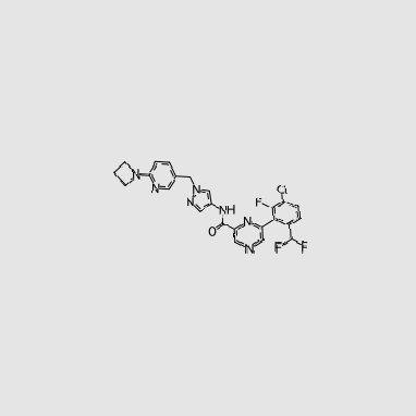 O=C(Nc1cnn(Cc2ccc(N3CCC3)nc2)c1)c1cncc(-c2c(C(F)F)ccc(Cl)c2F)n1